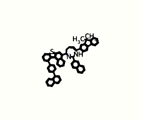 CC1(C)c2ccccc2-c2ccc(C3=C=CC/C(c4cc5sc6cccc(-c7ccc(-c8cccc9ccccc89)cc7)c6c5c5ccccc45)=N\C(c4ccc5ccccc5c4)N3)cc21